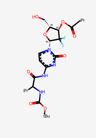 CC(C)C(=O)O[C@@H]1[C@@H](CO)O[C@@H](n2ccc(NC(=O)C(NC(=O)OC(C)(C)C)C(C)C)nc2=O)C1(F)F